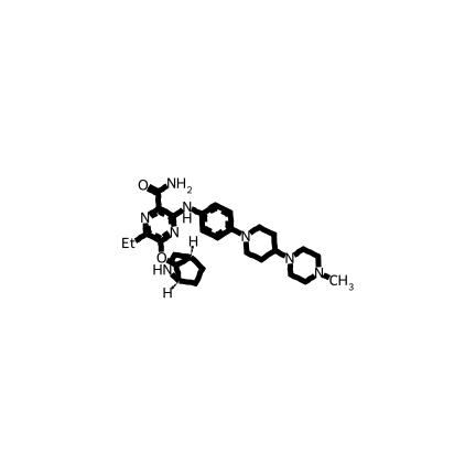 CCc1nc(C(N)=O)c(Nc2ccc(N3CCC(N4CCN(C)CC4)CC3)cc2)nc1OC1[C@@H]2CC[C@H]1NC2